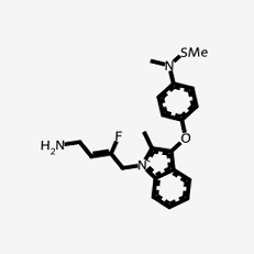 CSN(C)c1ccc(Oc2c(C)n(C/C(F)=C/CN)c3ccccc23)cc1